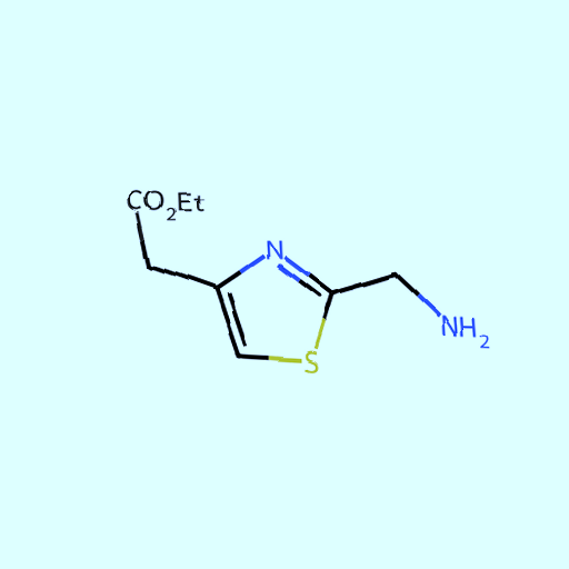 CCOC(=O)Cc1csc(CN)n1